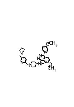 COc1ccc(-c2nnc(NC3CCN(Cc4ccc(CN5CCCC5)cc4)CC3)c3cc(OC)ccc23)cc1